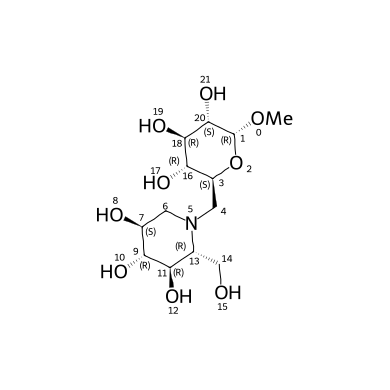 CO[C@@H]1O[C@@H](CN2C[C@H](O)[C@@H](O)[C@H](O)[C@H]2CO)[C@H](O)[C@@H](O)[C@@H]1O